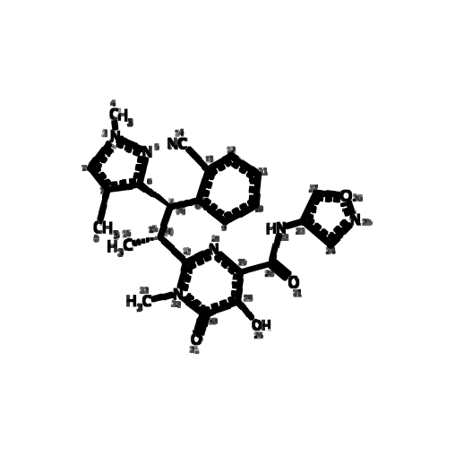 Cc1cn(C)nc1[C@@H](c1ccccc1C#N)[C@@H](C)c1nc(C(=O)Nc2cnoc2)c(O)c(=O)n1C